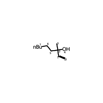 [CH]=CC(C)(O)CCCCCC